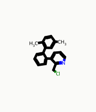 Cc1ccc(C)c(-c2ccccc2-c2cccnc2CCl)c1